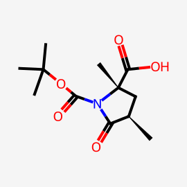 C[C@@H]1C[C@@](C)(C(=O)O)N(C(=O)OC(C)(C)C)C1=O